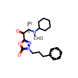 CC(C)[C@@H](C(=O)c1nn(CCCc2ccccc2)c(=O)o1)N(C=O)C1CCCCC1